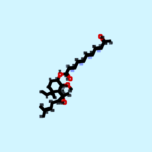 CCC1(C)CCC(OC(=O)/C=C/C=C/C=C/C=C/C(C)=O)C(OC)C1C1(C)OC1CC=C(C)C